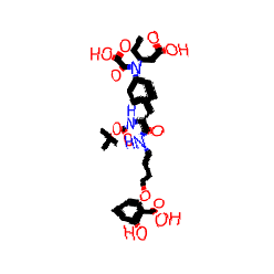 CCC(CC(=O)O)N(C(=O)C(=O)O)c1ccc(C[C@H](NC(=O)OC(C)(C)C)C(=O)NCCCCOc2cccc(O)c2C(=O)O)cc1